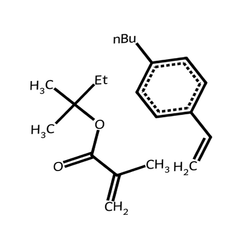 C=C(C)C(=O)OC(C)(C)CC.C=Cc1ccc(CCCC)cc1